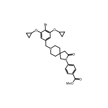 COC(=O)c1ccc(N2CC3(CCN(Cc4cc(OC5CC5)c(Br)c(OC5CC5)c4)CC3)CC2=O)cc1